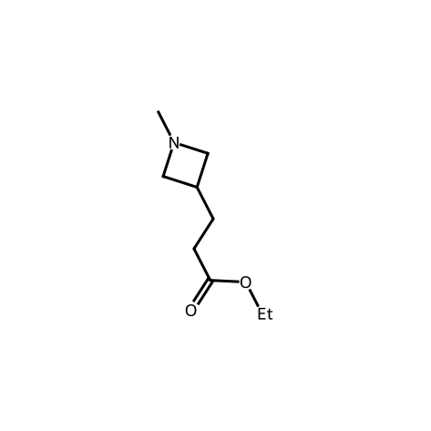 CCOC(=O)CCC1CN(C)C1